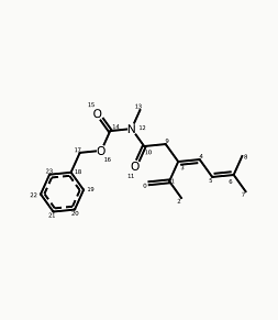 C=C(C)/C(=C\C=C(C)C)CC(=O)N(C)C(=O)OCc1ccccc1